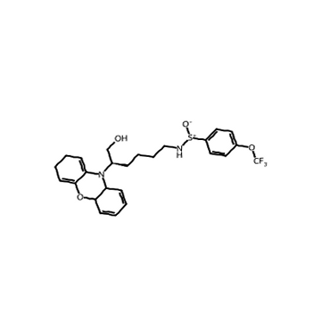 [O-][S+](NCCCC[C@H](CO)N1C2=CCCC=C2OC2C=CC=CC21)c1ccc(OC(F)(F)F)cc1